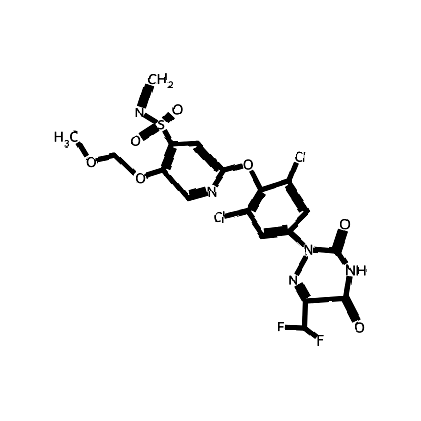 C=NS(=O)(=O)c1cc(Oc2c(Cl)cc(-n3nc(C(F)F)c(=O)[nH]c3=O)cc2Cl)ncc1OCOC